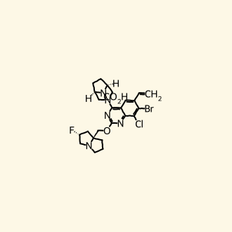 C=Cc1cc2c(N3C[C@H]4CC[C@@H](C3)N4C(=O)O)nc(OC[C@@]34CCCN3C[C@H](F)C4)nc2c(Cl)c1Br